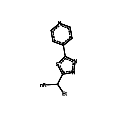 CCCC(CC)c1nnc(-c2ccncc2)s1